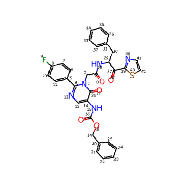 O=C(Cn1c(-c2ccc(F)cc2)ncc(NC(=O)OCc2ccccc2)c1=O)NC(Cc1ccccc1)C(=O)c1nccs1